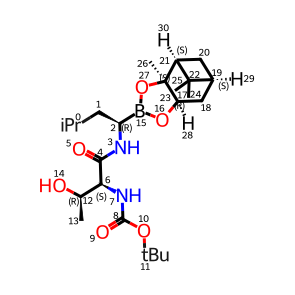 CC(C)C[C@H](NC(=O)[C@@H](NC(=O)OC(C)(C)C)[C@@H](C)O)B1O[C@@H]2C[C@@H]3C[C@@H](C3(C)C)[C@]2(C)O1